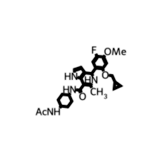 COc1cc(OCC2CC2)c(C2NC(C)=C(C(=O)NC3CCC(NC(C)=O)CC3)c3[nH]ccc32)cc1F